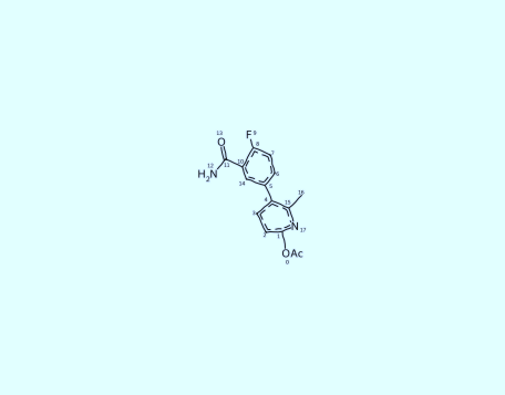 CC(=O)Oc1ccc(-c2ccc(F)c(C(N)=O)c2)c(C)n1